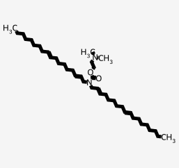 CCCCCCCCC=CCCCCCC=CCN(CC=CCCCCCC=CCCCCCCCC)C(=O)OCCN(C)C